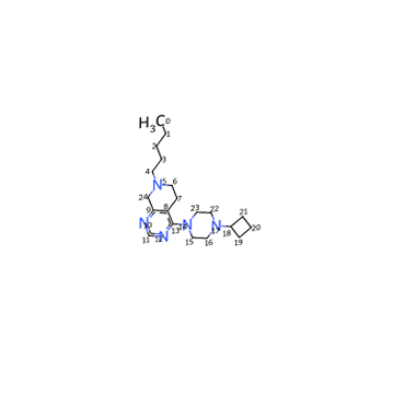 CCCCCN1CCc2c(ncnc2N2CCN(C3CCC3)CC2)C1